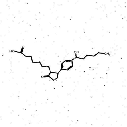 CCCCCC(O)c1ccc([C@H]2CCC(=O)[C@H]2CCCCCCC(=O)O)cc1